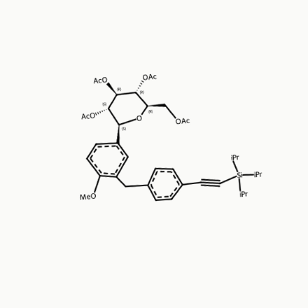 COc1ccc([C@@H]2O[C@H](COC(C)=O)[C@@H](OC(C)=O)[C@H](OC(C)=O)[C@H]2OC(C)=O)cc1Cc1ccc(C#C[Si](C(C)C)(C(C)C)C(C)C)cc1